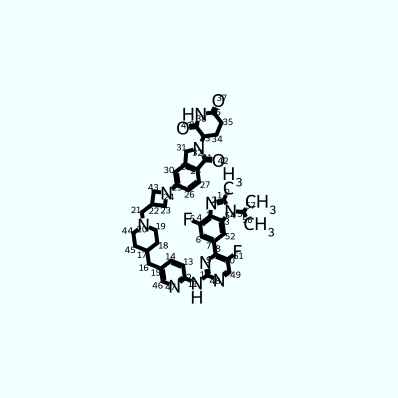 Cc1nc2c(F)cc(-c3nc(Nc4ccc(CC5CCN(CC6CN(c7ccc8c(c7)CN(C7CCC(=O)NC7=O)C8=O)C6)CC5)cn4)ncc3F)cc2n1C(C)C